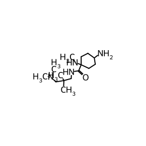 CNC1(C(=O)NCC(C)(C)CN(C)C)CCC(N)CC1